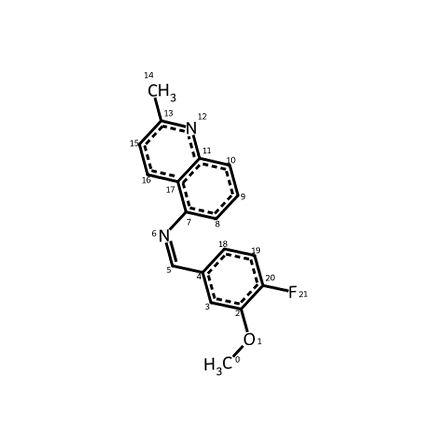 COc1cc(/C=N\c2cccc3nc(C)ccc23)ccc1F